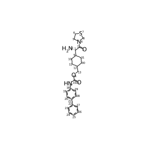 N[C@H](C(=O)N1CCSC1)C1CCC(COC(=O)Nc2ccc(-c3ccccc3)cc2)CC1